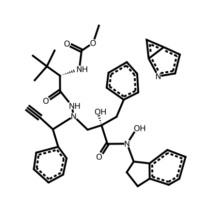 C#CC(c1ccccc1)N(C[C@@](O)(Cc1ccccc1)C(=O)N(O)C1CCc2ccccc21)NC(=O)[C@@H](NC(=O)OC)C(C)(C)C.c1cc2cc-2n1